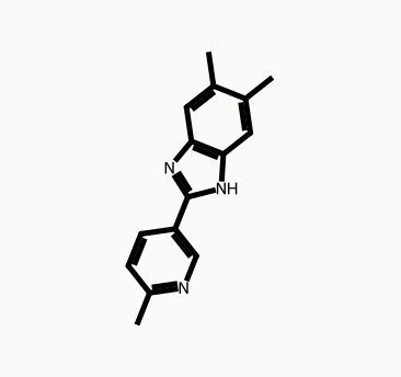 Cc1ccc(-c2nc3cc(C)c(C)cc3[nH]2)cn1